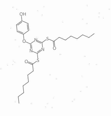 CCCCCCCC(=O)Sc1nc(Oc2ccc(O)cc2)nc(SC(=O)CCCCCCC)n1